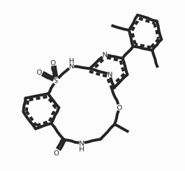 Cc1cccc(C)c1-c1cc2nc(n1)NS(=O)(=O)c1cccc(c1)C(=O)NCC(C)O2